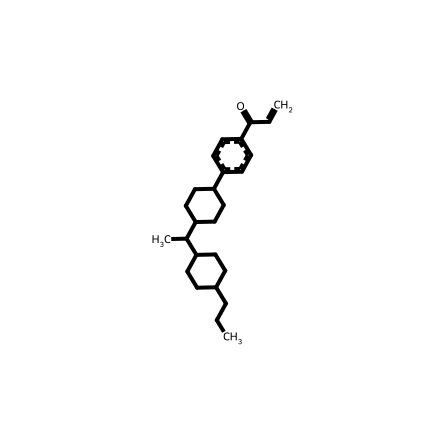 C=CC(=O)c1ccc(C2CCC(C(C)C3CCC(CCC)CC3)CC2)cc1